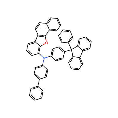 c1ccc(-c2ccc(N(c3ccc(C4(c5ccccc5)c5ccccc5-c5ccccc54)cc3)c3cccc4c3oc3c5ccccc5ccc43)cc2)cc1